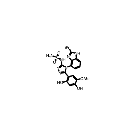 COc1cc(-c2nnc(NS(N)(=O)=O)n2-c2cccc3[nH]c(C(C)C)nc23)c(O)cc1O